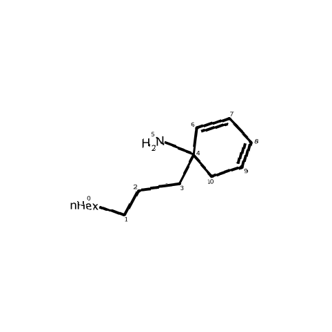 CCCCCCCCCC1(N)C=CC=CC1